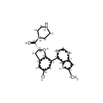 Cc1cc2ncnc(-c3cc(Cl)cc4c3O[C@@H](C(=O)N3CCNCC3)C4)c2s1